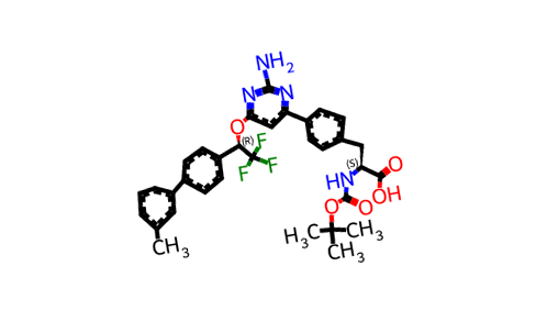 Cc1cccc(-c2ccc([C@@H](Oc3cc(-c4ccc(C[C@H](NC(=O)OC(C)(C)C)C(=O)O)cc4)nc(N)n3)C(F)(F)F)cc2)c1